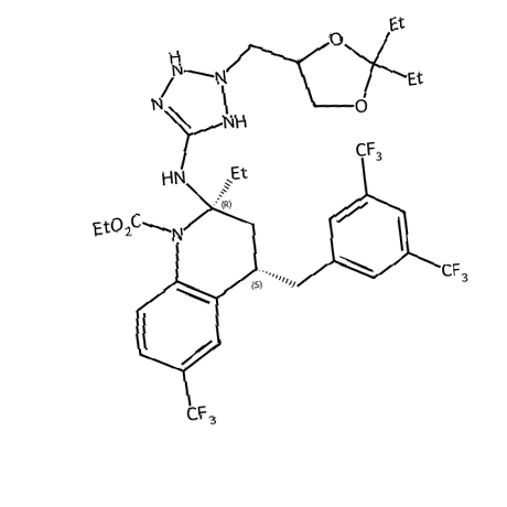 CCOC(=O)N1c2ccc(C(F)(F)F)cc2[C@@H](Cc2cc(C(F)(F)F)cc(C(F)(F)F)c2)C[C@]1(CC)NC1=NNN(CC2COC(CC)(CC)O2)N1